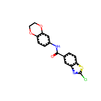 O=C(Nc1ccc2c(c1)OCCO2)c1ccc2sc(Cl)nc2c1